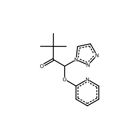 CC(C)(C)C(=O)C(Oc1ccccn1)n1ccnn1